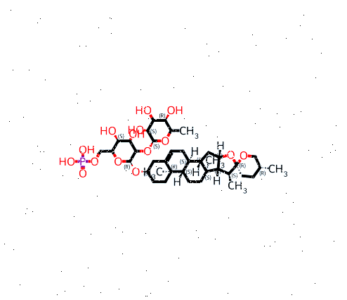 CC1O[C@@H](OC2C(O)[C@H](O)C(COP(=O)(O)O)O[C@H]2O[C@H]2CC[C@@]3(C)C(=CC[C@H]4[C@@H]5C[C@@H]6O[C@]7(CC[C@@H](C)CO7)[C@@H](C)[C@@H]6[C@@]5(C)CC[C@@H]43)C2)[C@@H](O)C(O)[C@H]1O